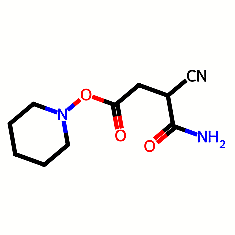 N#CC(CC(=O)ON1CCCCC1)C(N)=O